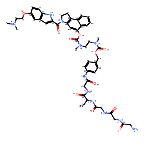 CC(C)C(NC(=O)CNC(=O)CNC(=O)CN)C(=O)NCC(=O)Nc1ccc(COC(=O)N(C)CCN(C)C(=O)Oc2cc3c(c4ccccc24)CCN3C(=O)c2cc3cc(OCCN(C)C)ccc3[nH]2)cc1